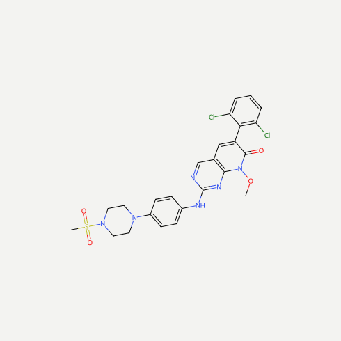 COn1c(=O)c(-c2c(Cl)cccc2Cl)cc2cnc(Nc3ccc(N4CCN(S(C)(=O)=O)CC4)cc3)nc21